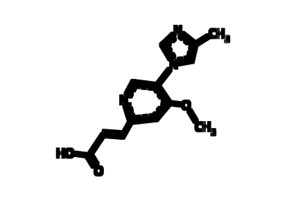 COc1cc(C=CC(=O)O)ncc1-n1cnc(C)c1